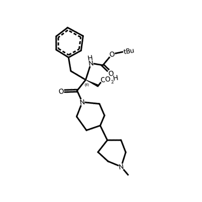 CN1CCC(C2CCN(C(=O)[C@](CC(=O)O)(Cc3ccccc3)NC(=O)OC(C)(C)C)CC2)CC1